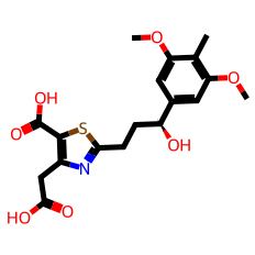 COc1cc([C@@H](O)CCc2nc(CC(=O)O)c(C(=O)O)s2)cc(OC)c1C